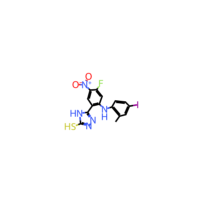 Cc1cc(I)ccc1Nc1cc(F)c([N+](=O)[O-])cc1-c1nnc(S)[nH]1